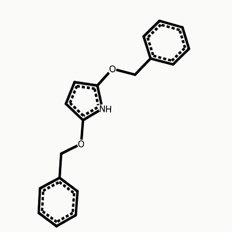 c1ccc(COc2ccc(OCc3ccccc3)[nH]2)cc1